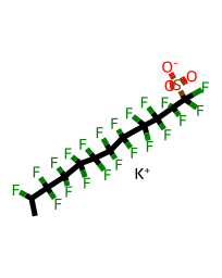 CC(F)C(F)(F)C(F)(F)C(F)(F)C(F)(F)C(F)(F)C(F)(F)C(F)(F)C(F)(F)C(F)(F)C(F)(F)S(=O)(=O)[O-].[K+]